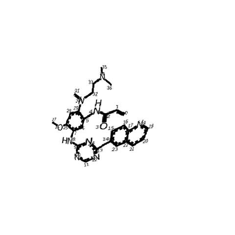 C=CC(=O)Nc1cc(Nc2ncnc(-c3ccc4ncccc4c3)n2)c(OC)cc1N(C)CCN(C)C